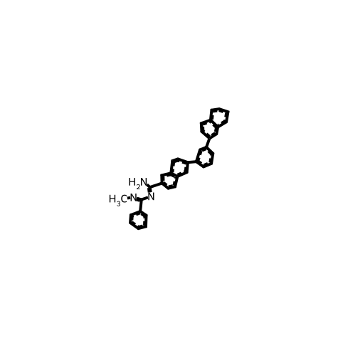 CN=C(/N=C(\N)c1ccc2cc(-c3cccc(-c4ccc5ccccc5c4)c3)ccc2c1)c1ccccc1